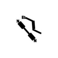 CC=CCC.N#CC#N